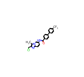 Cc1c(CCl)nc2ccc(NC(=O)c3ccc(-c4ccc(C(F)(F)F)cc4)cc3)cn12